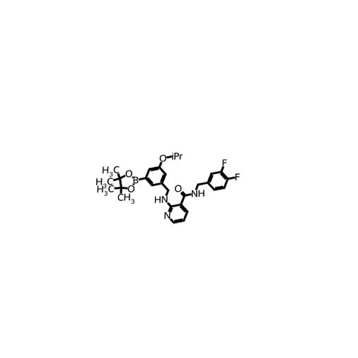 CC(C)Oc1cc(CNc2ncccc2C(=O)NCc2ccc(F)c(F)c2)cc(B2OC(C)(C)C(C)(C)O2)c1